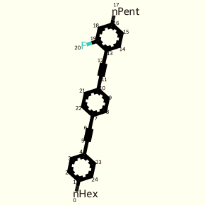 CCCCCCc1ccc(C#Cc2ccc(C#Cc3ccc(CCCCC)cc3F)cc2)cc1